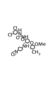 COc1cc(C)ccc1Oc1ccc(ONC(=O)Nc2cc(Cl)cc(Cl)c2)c(CNc2ccc(N3CCOCC3)cc2)c1